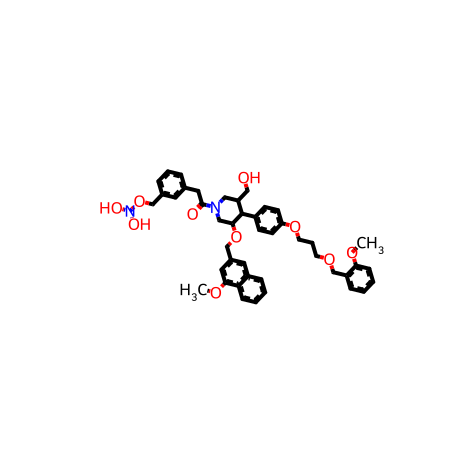 COc1ccccc1COCCCOc1ccc(C2C(CO)CN(C(=O)Cc3cccc(CON(O)O)c3)CC2OCc2cc(OC)c3ccccc3c2)cc1